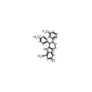 Cc1ccc(C2c3[nH]c4c(N)cc(Cl)cc4c3CCN2c2nccc(C(F)(F)F)n2)cc1